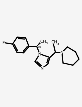 CC(c1cncn1[C@H](C)c1ccc(F)cc1)N1CCCCC1